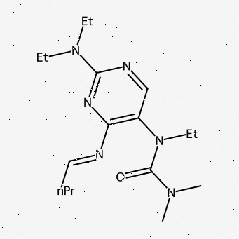 [CH2]CCC=Nc1nc(N(CC)CC)ncc1N(CC)C(=O)N(C)C